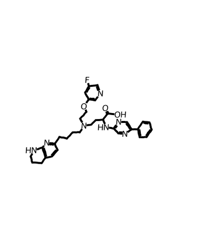 O=C(O)C(CCN(CCCCc1ccc2c(n1)NCCC2)CCOc1cncc(F)c1)Nc1cnc(-c2ccccc2)cn1